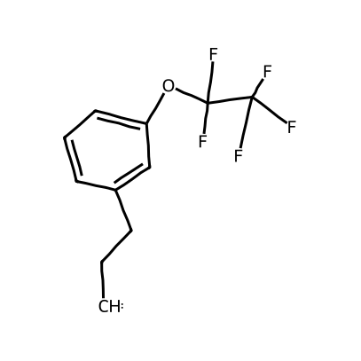 [CH]CCc1cccc(OC(F)(F)C(F)(F)F)c1